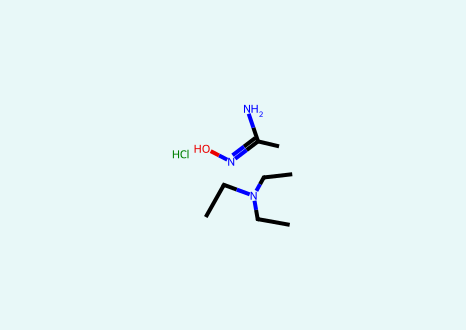 CC(N)=NO.CCN(CC)CC.Cl